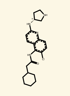 O=C(CC1CCCCC1)Nc1c(Cl)ccc2nc(N[C@@H]3CCNC3)ccc12